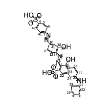 O=S(=O)(O)c1ccc(N=Nc2ccc(N=Nc3c(S(=O)(=O)O)cc4cc(Nc5ccccc5)ccc4c3O)c(O)c2)cc1